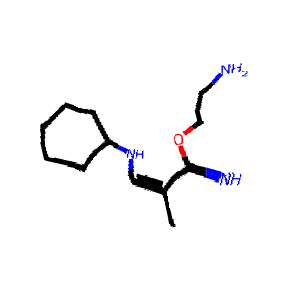 C/C(=C/NC1CCCCC1)C(=N)OCCN